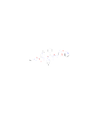 C=CCNC(=O)C(=O)C(CC1CC1)NC(=O)[C@@H]1[C@@H]2[C@H](CN1C(=O)[C@@H](NC(=O)N[C@H](CN(C)S(=O)(=O)c1ccccn1)C(C)(C)C)C1CCCCC1)C2(C)C